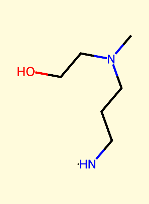 CN(CCO)CCC[NH]